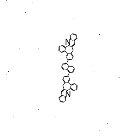 c1ccc2c(c1)-c1cc(-c3cccc4c(-c5ccc6c(c5)-c5ccccc5-c5nc7ccccc7cc5C6)cccc34)ccc1Cc1cc3ccccc3nc1-2